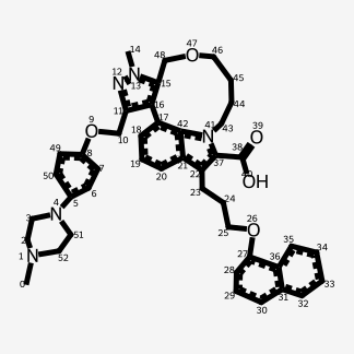 CN1CCN(c2ccc(OCc3nn(C)c4c3-c3cccc5c(CCCOc6cccc7ccccc67)c(C(=O)O)n(c35)CCCCOC4)cc2)CC1